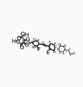 CCC[C@H]1CC[C@H](c2ccc(C#Cc3ccc(C4O[C@@H](C(=O)O)[C@H](C(=O)O)O4)cc3F)c(F)c2)CC1